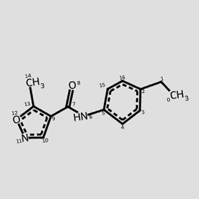 CCc1ccc(NC(=O)c2cnoc2C)cc1